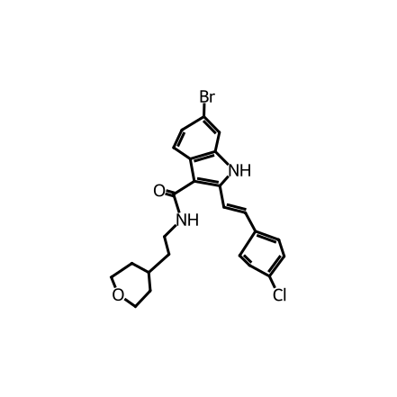 O=C(NCCC1CCOCC1)c1c(/C=C/c2ccc(Cl)cc2)[nH]c2cc(Br)ccc12